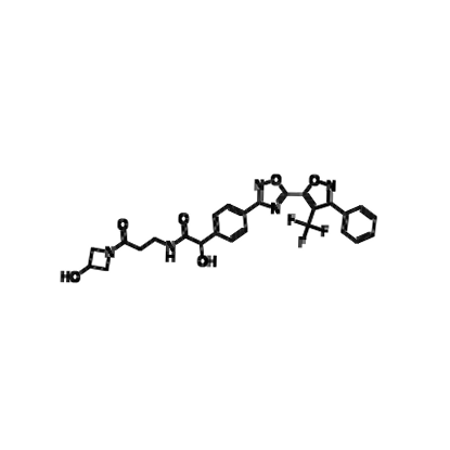 O=C(NCCC(=O)N1CC(O)C1)C(O)c1ccc(-c2noc(-c3onc(-c4ccccc4)c3C(F)(F)F)n2)cc1